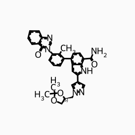 Cc1c(-c2ccc(C(N)=O)c3[nH]c(-c4cnn(C[C@H]5COC(C)(C)O5)c4)cc23)cccc1-n1cnc2ccccc2c1=O